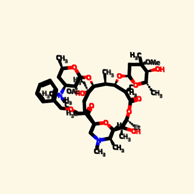 CC[C@H]1OC(=O)[C@H](C)[C@@H](O[C@H]2C[C@@](C)(OC)[C@@H](O)[C@H](C)O2)[C@H](C)[C@@H](O[C@@H]2O[C@H](C)C[C@H](N(C)C)[C@H]2OC(C)=O)[C@](C)(O)C[C@@H](C)C2(C(=O)COCc3ccccc3)CN(C)[C@H](C)[C@@H](O2)[C@]1(C)O